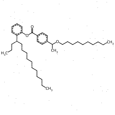 CCCCCCCCCCCC(CCC)c1ccccc1OC(=O)c1ccc(C(C)OCCCCCCCCCC)cc1